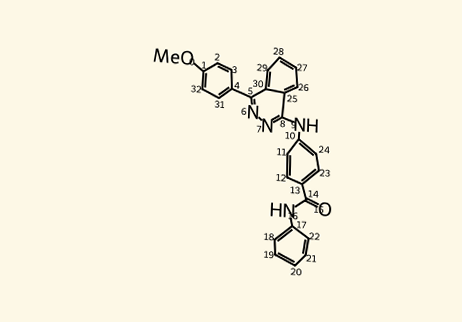 COc1ccc(-c2nnc(Nc3ccc(C(=O)Nc4ccccc4)cc3)c3ccccc23)cc1